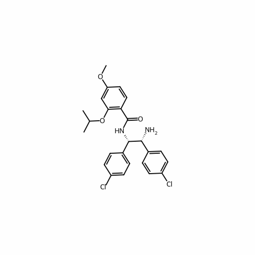 COc1ccc(C(=O)N[C@@H](c2ccc(Cl)cc2)[C@H](N)c2ccc(Cl)cc2)c(OC(C)C)c1